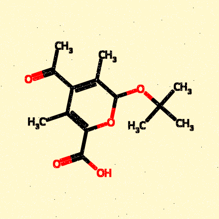 CC(=O)C1=C(C)C(OC(C)(C)C)OC(C(=O)O)=C1C